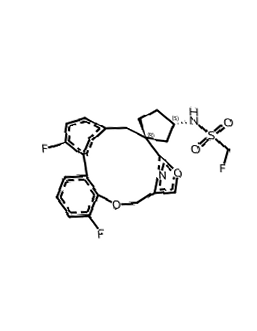 O=S(=O)(CF)N[C@H]1CC[C@@]2(Cc3ccc(F)c(c3)-c3cccc(F)c3OCc3coc2n3)C1